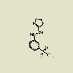 O=S(=O)(c1cccc(NNC2=NCCS2)c1)C(F)(F)F